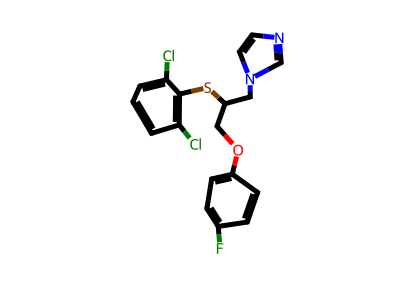 Fc1ccc(OCC(Cn2ccnc2)Sc2c(Cl)cccc2Cl)cc1